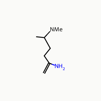 C=C(N)CCC(C)NC